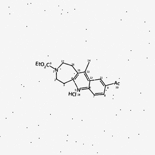 CCOC(=O)N1CCc2nc3ccc(C(C)=O)cc3c(C)c2CC1.Cl